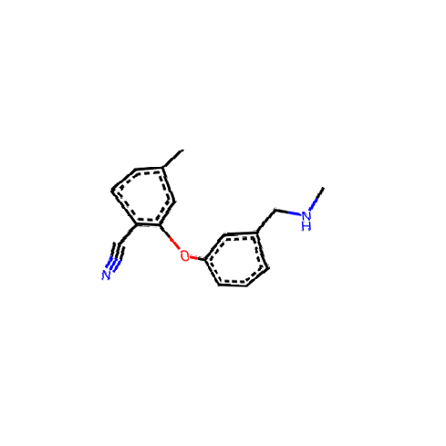 CNCc1cccc(Oc2cc(C)ccc2C#N)c1